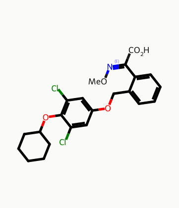 CO/N=C(/C(=O)O)c1ccccc1COc1cc(Cl)c(OC2CCCCC2)c(Cl)c1